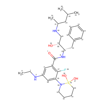 CCNc1cc(C(=O)N[C@@H](Cc2ccccc2)[C@H](O)CNC(C)CC(C)C)c(F)c(N2CCCCS2(O)O)c1